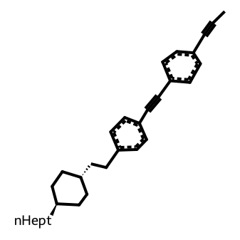 CC#Cc1ccc(C#Cc2ccc(CC[C@H]3CC[C@H](CCCCCCC)CC3)cc2)cc1